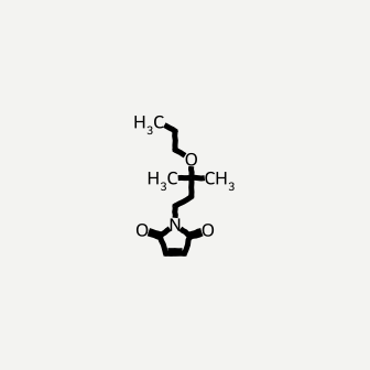 CCCOC(C)(C)CCN1C(=O)C=CC1=O